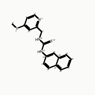 CSc1ccnc(CNC(=S)Nc2ccc3ccccc3c2)c1